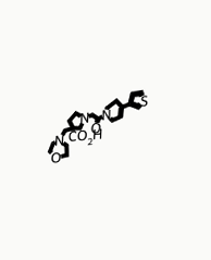 O=C(CN1CCC(CN2CCOCC2)(C(=O)O)C1)N1CC=C(c2ccsc2)CC1